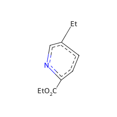 [CH2]Cc1ccc(C(=O)OCC)nc1